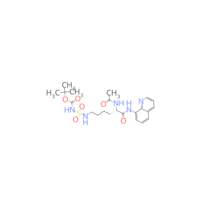 CC(=O)N[C@@H](CCCCNS(=O)(=O)NC(=O)OC(C)(C)C)C(=O)Nc1cccc2cccnc12